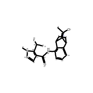 C/C(Cl)=C1/C2CCC1c1c(NC(=O)c3cnn(C)c3C(F)F)cccc12